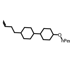 C=CCCC1CCC(C2CCC(OCCCCC)CC2)CC1